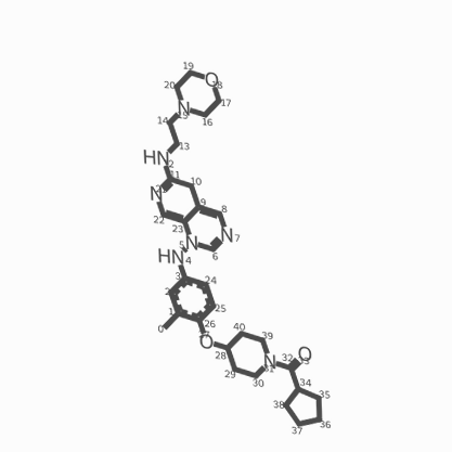 Cc1cc(NN2C=NC=C3CC(NCCN4CCOCC4)=NC=C32)ccc1OC1CCN(C(=O)C2CCCC2)CC1